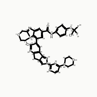 C[C@@H]1COCc2nc3cc(C(=O)Nc4ccc(OC(F)(F)Cl)cc4)cc(-c4cnc5c(c4)-c4nn(-c6nccc(N7CCOCC7)n6)cc4C5)c3n21